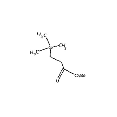 COC(=O)CC[Si](C)(C)C